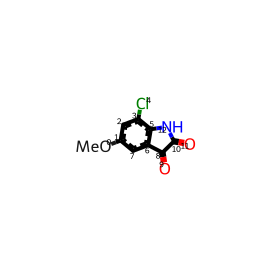 COc1cc(Cl)c2c(c1)C(=O)C(=O)N2